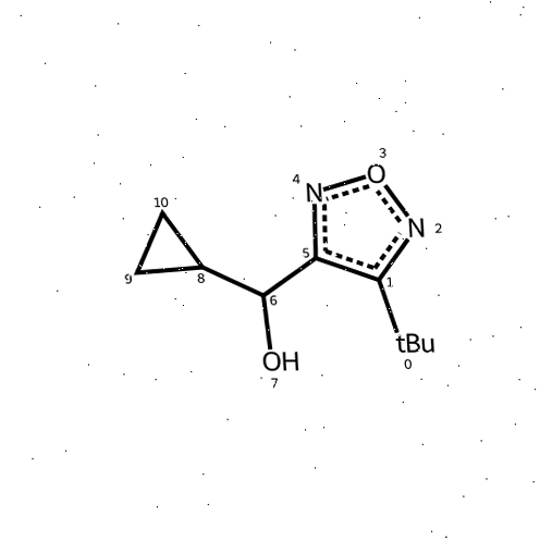 CC(C)(C)c1nonc1C(O)C1CC1